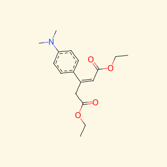 CCOC(=O)/C=C(/CC(=O)OCC)c1ccc(N(C)C)cc1